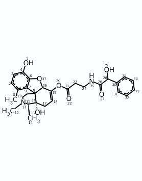 Cc1ccc(O)c2c1C13CCN(C)[C@H](C)[C@]1(O)CC=C(OC(=O)CCNC(=O)C(O)c1ccccc1)C3O2